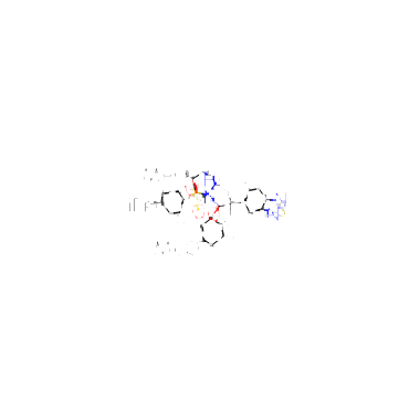 COc1ccc(CC(Cc2ccc(OC)cc2)(C(=O)NS(=O)(=O)c2ccc(C(C)C)cc2)c2ccc3nsnc3c2)cc1